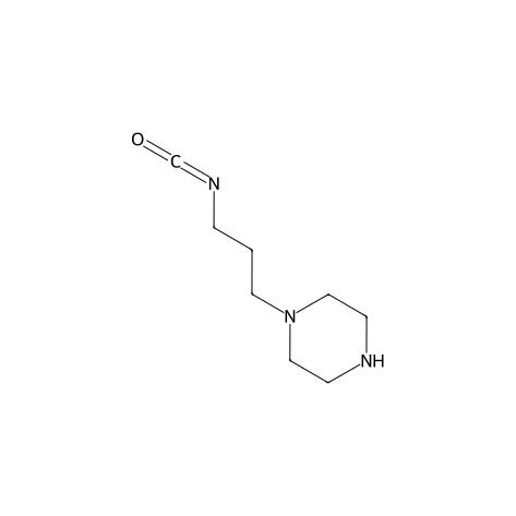 O=C=NCCCN1CCNCC1